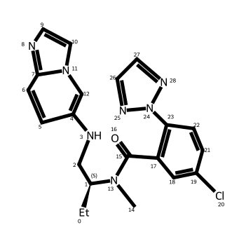 CC[C@@H](CNc1ccc2nccn2c1)N(C)C(=O)c1cc(Cl)ccc1-n1nccn1